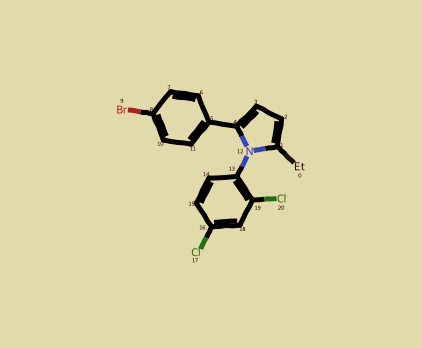 CCc1ccc(-c2ccc(Br)cc2)n1-c1ccc(Cl)cc1Cl